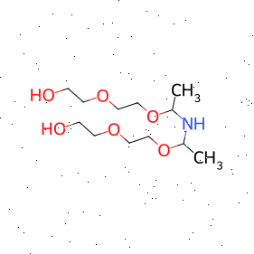 CC(NC(C)OCCOCCO)OCCOCCO